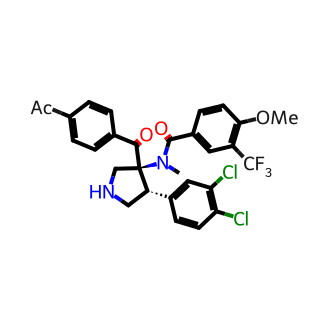 COc1ccc(C(=O)N(C)[C@]2(C(=O)c3ccc(C(C)=O)cc3)CNC[C@H]2c2ccc(Cl)c(Cl)c2)cc1C(F)(F)F